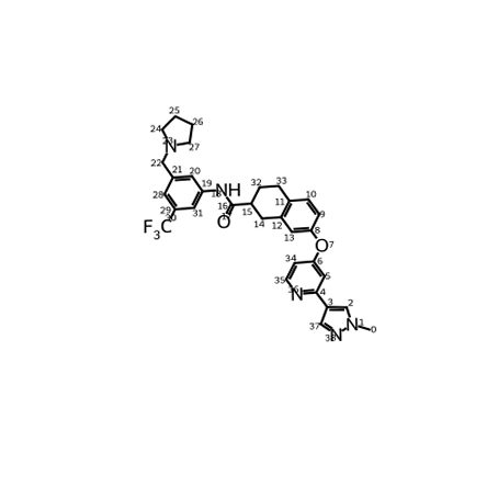 Cn1cc(-c2cc(Oc3ccc4c(c3)CC(C(=O)Nc3cc(CN5CCCC5)cc(C(F)(F)F)c3)CC4)ccn2)cn1